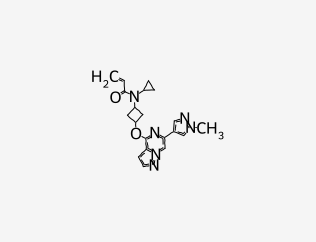 C=CC(=O)N(C1CC1)C1CC(Oc2nc(-c3cnn(C)c3)cn3nccc23)C1